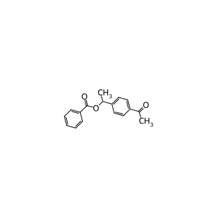 CC(=O)c1ccc(C(C)OC(=O)c2ccccc2)cc1